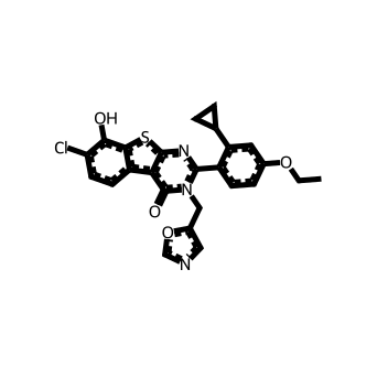 CCOc1ccc(-c2nc3sc4c(O)c(Cl)ccc4c3c(=O)n2Cc2cnco2)c(C2CC2)c1